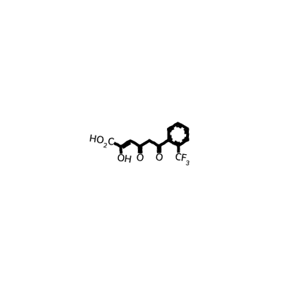 O=C(C=C(O)C(=O)O)CC(=O)c1ccccc1C(F)(F)F